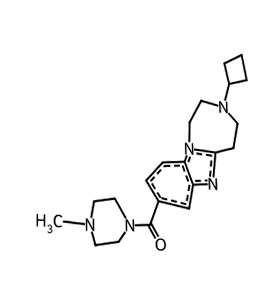 CN1CCN(C(=O)c2ccc3c(c2)nc2n3CCN(C3CCC3)CC2)CC1